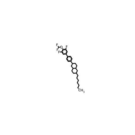 CCCCCCCC1CCC2CC(c3ccc(-c4cc(F)c(OC(F)F)c(F)c4)cc3)CCC2C1